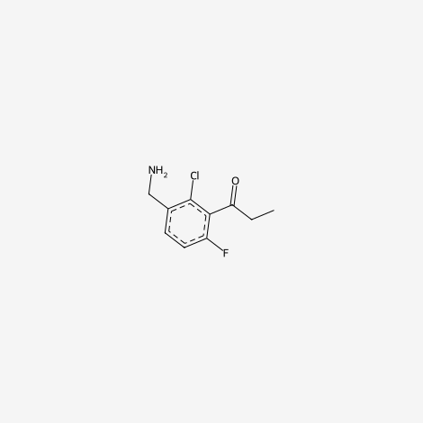 CCC(=O)c1c(F)ccc(CN)c1Cl